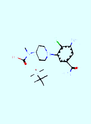 CN(C(=O)O)[C@H]1CCN(c2cc(C(N)=O)cc(N)c2Cl)C[C@@H]1O[Si](C)(C)C(C)(C)C